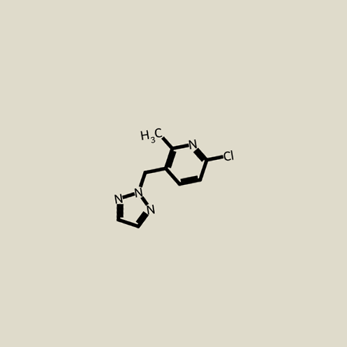 Cc1nc(Cl)ccc1Cn1nccn1